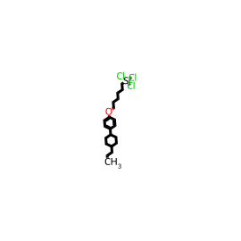 CCCC1CCC(c2ccc(OCCCCCC[Si](Cl)(Cl)Cl)cc2)CC1